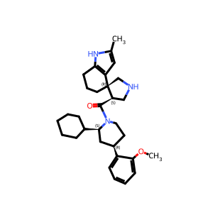 COc1ccccc1[C@@H]1CCN(C(=O)[C@@H]2CNC[C@]23CCCc2[nH]c(C)cc23)[C@H](C2CCCCC2)C1